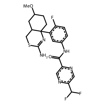 COC1CCC2(c3cc(NC(=O)c4cnc(C(F)F)cn4)ccc3F)N=C(N)SCC2C1